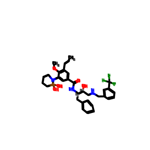 CCCc1cc(C(=O)N[C@@H](Cc2ccccc2)[C@H](O)CNCc2cccc(C(F)(F)F)c2)cc(N2CCCCS2(O)O)c1OC